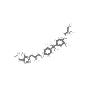 Cc1cc(C(C)(C)c2ccc(OC[C@H](O)Cn3nnc(CO)c3C)cc2)ccc1OC[C@H](O)CCl